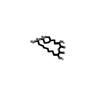 CCCCCCCCC=C(C)C(=O)OC(=O)C(C)=CCC(CC)CCCC